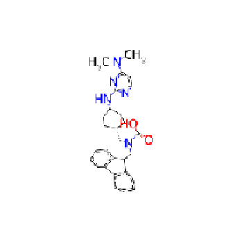 CN(C)c1ccnc(N[C@H]2CC[C@@H](CN(CC3c4ccccc4-c4ccccc43)C(=O)O)CC2)n1